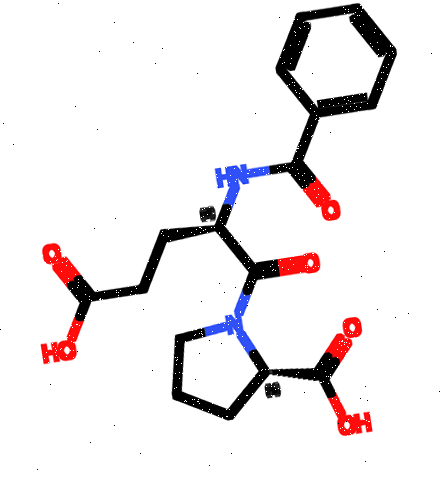 O=C(O)CC[C@@H](NC(=O)c1ccccc1)C(=O)N1CCC[C@H]1C(=O)O